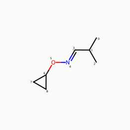 CC(C)/[C]=N/OC1CC1